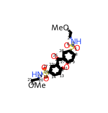 COCCNS(=O)(=O)c1ccc2oc3ccc(S(=O)(=O)NCCOC)cc3c(=O)c2c1